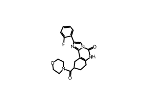 O=C(C1CCc2[nH]c(=O)n3cc(-c4ccccc4F)nc3c2C1)N1CCOCC1